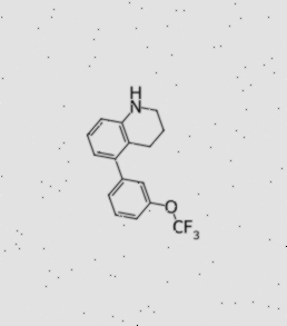 FC(F)(F)Oc1cccc(-c2cccc3c2CCCN3)c1